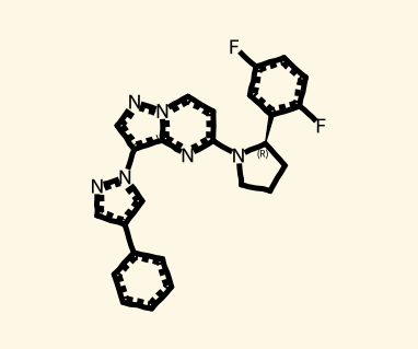 Fc1ccc(F)c([C@H]2CCCN2c2ccn3ncc(-n4cc(-c5ccccc5)cn4)c3n2)c1